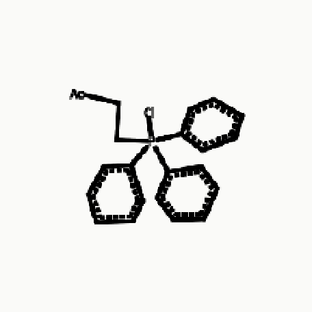 CC(=O)CCP(Cl)(c1ccccc1)(c1ccccc1)c1ccccc1